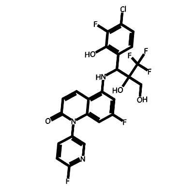 O=c1ccc2c(NC(c3ccc(Cl)c(F)c3O)C(O)(CO)C(F)(F)F)cc(F)cc2n1-c1ccc(F)nc1